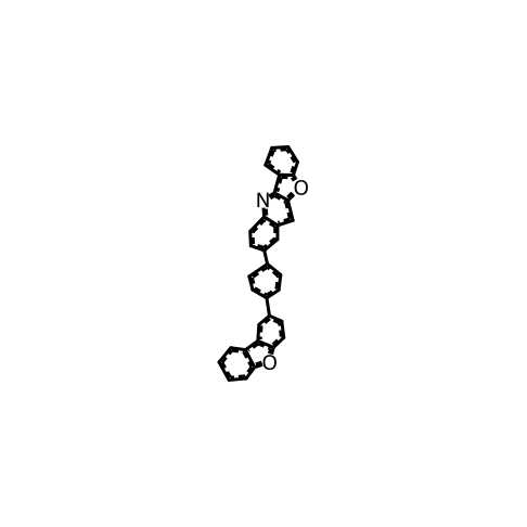 c1ccc2c(c1)oc1ccc(-c3ccc(-c4ccc5nc6c(cc5c4)oc4ccccc46)cc3)cc12